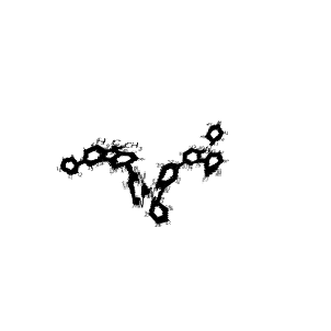 CC1(C)c2ccc(-c3ccccc3)cc2-c2cc(-c3ccnc(-n4c5ccccc5c5cc(C6=CC7c8ccccc8N(c8ccccc8)C7C=C6)ccc54)n3)ccc21